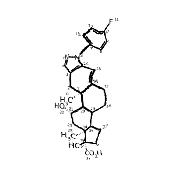 C[C@]12Cc3cnn(-c4ccc(F)cc4)c3C=C1CCC1C2[C@@H](O)C[C@@]2(C)C1CC[C@]2(O)C(=O)O